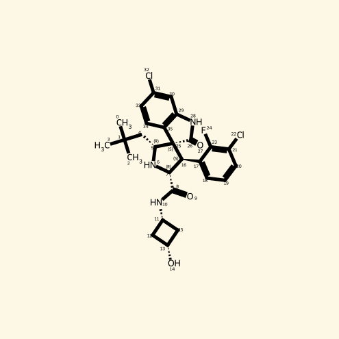 CC(C)(C)C[C@H]1N[C@@H](C(=O)N[C@H]2C[C@@H](O)C2)[C@H](c2cccc(Cl)c2F)[C@@]12C(=O)Nc1cc(Cl)ccc12